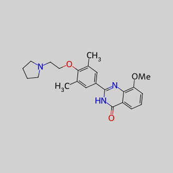 COc1cccc2c(=O)[nH]c(-c3cc(C)c(OCCN4CCCC4)c(C)c3)nc12